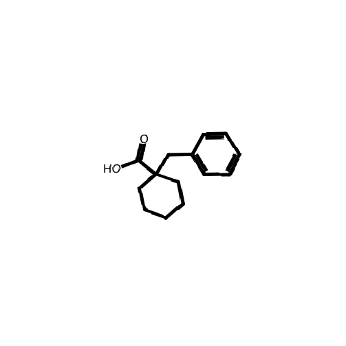 O=C(O)C1(Cc2ccccc2)CCCCC1